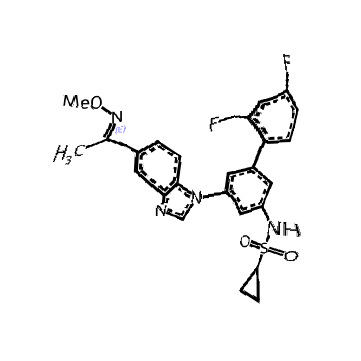 CO/N=C(\C)c1ccc2c(c1)ncn2-c1cc(NS(=O)(=O)C2CC2)cc(-c2ccc(F)cc2F)c1